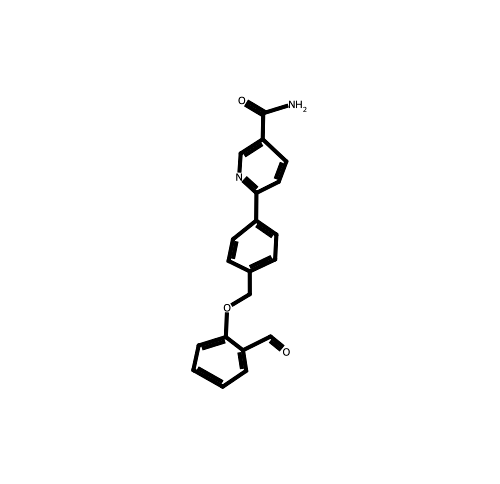 NC(=O)c1ccc(-c2ccc(COc3ccccc3C=O)cc2)nc1